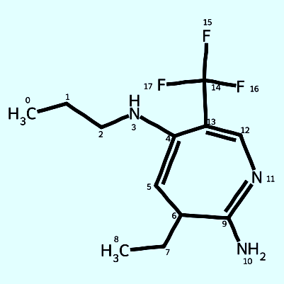 CCCNC1=CC(CC)C(N)=NC=C1C(F)(F)F